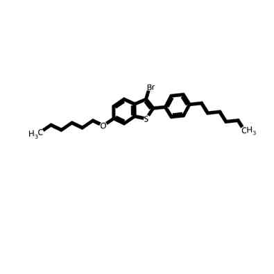 CCCCCCOc1ccc2c(Br)c(-c3ccc(CCCCCC)cc3)sc2c1